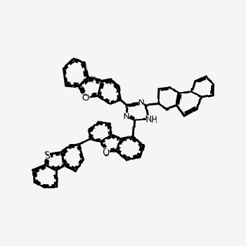 C1=CC2C=CC3=C(C=CC(C4N=C(c5ccc6c(c5)oc5ccccc56)N=C(c5cccc6oc7c(-c8ccc9c(c8)sc8ccccc89)cccc7c56)N4)C3)C2C=C1